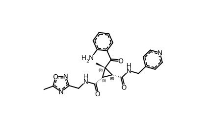 Cc1nc(CNC(=O)[C@H]2[C@@H](C(=O)NCc3ccncc3)[C@@]2(C)C(=O)c2ccccc2N)no1